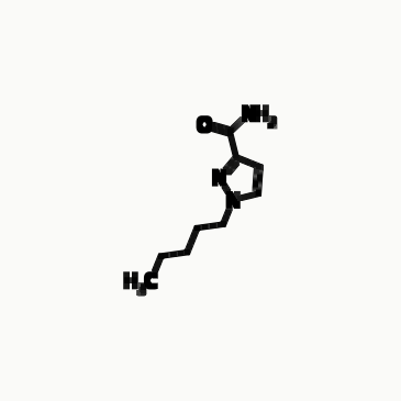 CCCCCn1ccc(C(N)=O)n1